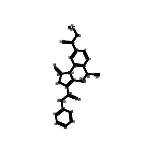 COC(=O)c1ccc2c(c1)-n1c(c(C(=O)Nc3ccccc3)sc1=S)NC2O